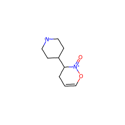 O=[N+]1OC=CCC1C1CC[N]CC1